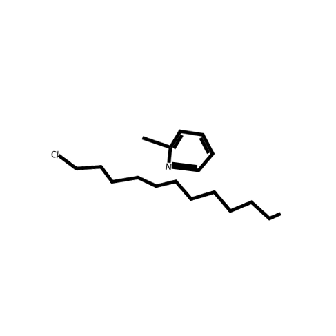 CCCCCCCCCCCCCl.Cc1ccccn1